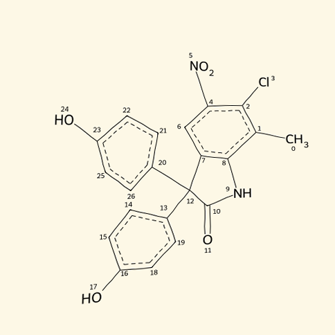 Cc1c(Cl)c([N+](=O)[O-])cc2c1NC(=O)C2(c1ccc(O)cc1)c1ccc(O)cc1